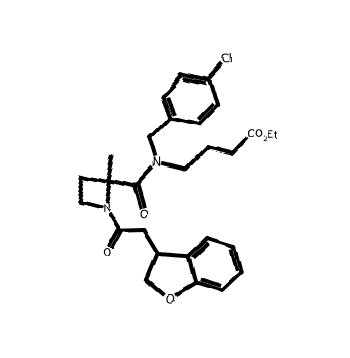 CCOC(=O)CCCN(Cc1ccc(Cl)cc1)C(=O)C1(C)CCN1C(=O)CC1COc2ccccc21